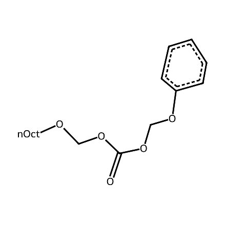 CCCCCCCCOCOC(=O)OCOc1ccccc1